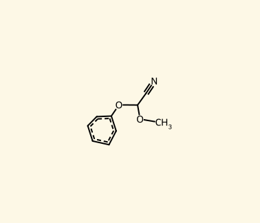 COC(C#N)Oc1ccccc1